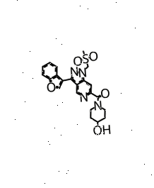 CS(=O)(=O)Cn1nc(-c2coc3ccccc23)c2cnc(C(=O)N3CCC(O)CC3)cc21